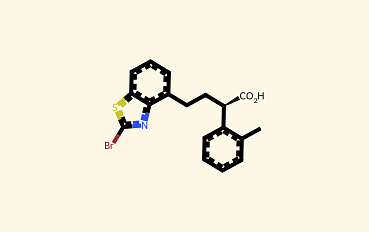 Cc1ccccc1[C@@H](CCc1cccc2sc(Br)nc12)C(=O)O